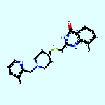 Cc1cccnc1CN1CCC(SCc2nc3c(C)cccc3c(=O)[nH]2)CC1